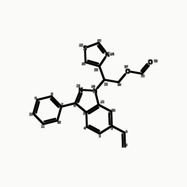 C=Cc1ccc2c(-c3ccccc3)nn(C(COC=O)c3cscn3)c2c1